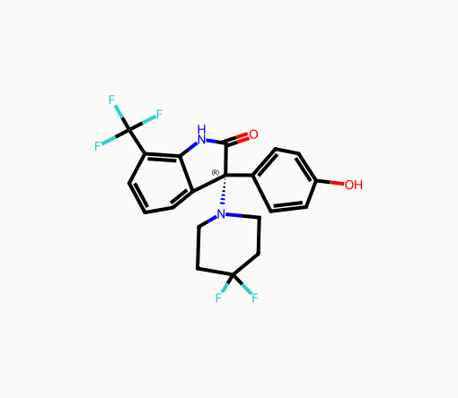 O=C1Nc2c(C(F)(F)F)cccc2[C@@]1(c1ccc(O)cc1)N1CCC(F)(F)CC1